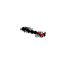 CC(C)(C)[C@H](NC(=O)C1=C[C@@H](F)CN1)c1nc(-c2ccc(-c3ccc(-c4c[nH]c([C@@H](NC(=O)[C@]5(C)C[C@@H](F)CN5)C(C)(C)C)n4)cc3)cc2)c[nH]1